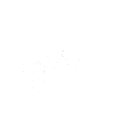 CC1(C)c2cc3oc4ccccc4c3cc2-c2cc3c4ccccc4n(-c4ccc(-c5nc(-c6ccccc6)c6ccccc6n5)cc4)c3cc21